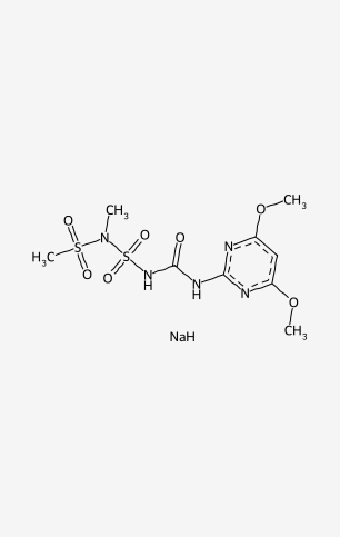 COc1cc(OC)nc(NC(=O)NS(=O)(=O)N(C)S(C)(=O)=O)n1.[NaH]